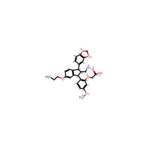 CCCOc1ccc2c(c1)C(c1ccc(OC)cc1OCC(=O)O)C(CN)C2c1ccc2c(c1)OCO2